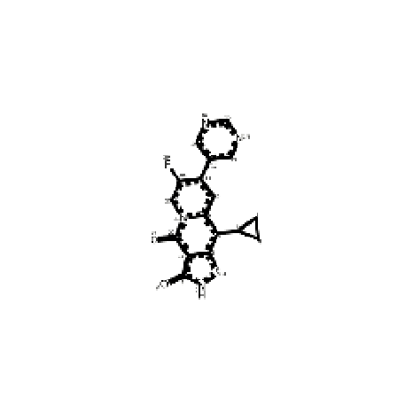 O=c1[nH]sc2c(C3CC3)c3cc(-c4cncnc4)c(F)cn3c(=O)c12